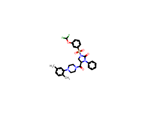 Cc1ccc(C)c(N2CCN(C(=O)C3CN(S(=O)(=O)c4cccc(OC(F)F)c4)C(=O)N3c3ccccc3)CC2)c1